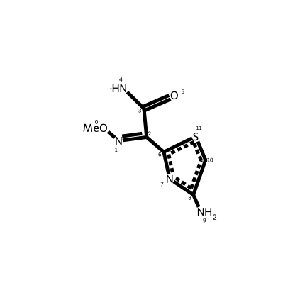 CON=C(C([NH])=O)c1nc(N)cs1